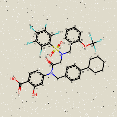 O=C(O)c1ccc(N(Cc2ccc(C3CCCCC3)cc2)C(=O)CN(Cc2ccccc2OC(F)(F)F)S(=O)(=O)c2c(F)c(F)c(F)c(F)c2F)cc1O